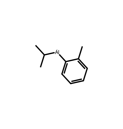 Cc1cccc[c]1[Al][CH](C)C